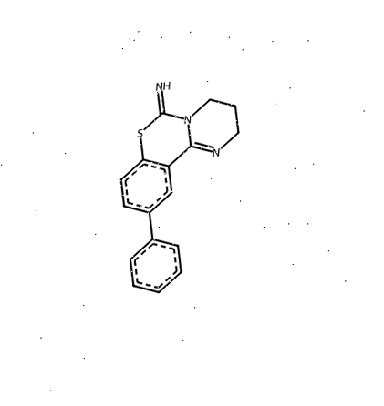 N=C1Sc2ccc(-c3ccccc3)cc2C2=NCCCN12